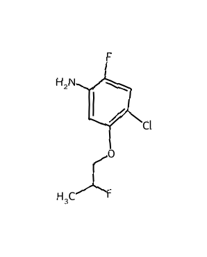 CC(F)COc1cc(N)c(F)cc1Cl